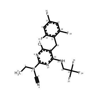 CCN(C#N)c1nc(Cl)c(Cc2c(F)cc(F)cc2F)c(NCC(F)(F)F)n1